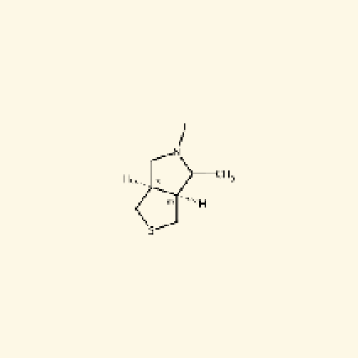 CC1[C@H]2CSC[C@H]2CN1I